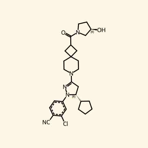 N#Cc1ccc(N2N=C(N3CCC4(CC3)CC(C(=O)N3CC[C@@H](O)C3)C4)C[C@@H]2C2CCCC2)cc1Cl